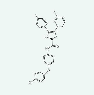 Cc1ccc(C2=C(c3cccc(F)c3)CN(C(=O)Nc3ccc(Oc4ccc(Cl)cc4)cc3)N2)cc1